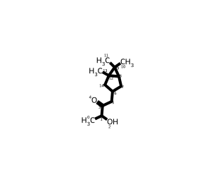 CC(O)C(=O)CC1CC2C(C)(C)C2(C)C1